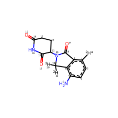 [2H]c1ccc(N)c2c1C(=O)N(C1CCC(=O)NC1=O)C2([2H])[2H]